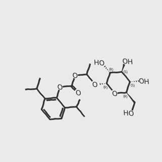 CC(OC(=O)Oc1c(C(C)C)cccc1C(C)C)O[C@H]1O[C@H](CO)[C@@H](O)[C@H](O)[C@H]1O